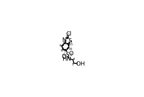 O=S(=O)(NCCO)c1ccc2nc(Cl)sc2c1